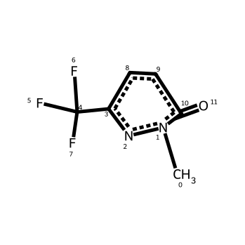 Cn1nc(C(F)(F)F)ccc1=O